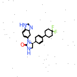 O=C1NC[C@H](C2C=CC(C3CCC(F)(F)CC3)=CC2)N1C1=CC=C2NC=NC2C1